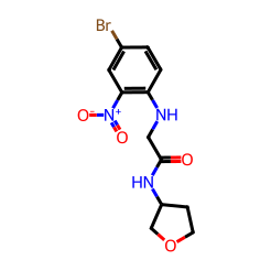 O=C(CNc1ccc(Br)cc1[N+](=O)[O-])NC1CCOC1